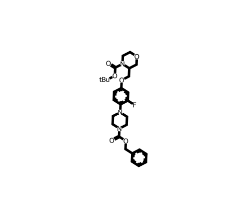 CC(C)(C)OC(=O)N1CCOCC1COc1ccc(N2CCN(C(=O)OCc3ccccc3)CC2)c(F)c1